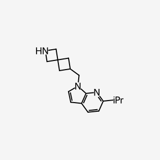 CC(C)c1ccc2ccn(CC3CC4(CNC4)C3)c2n1